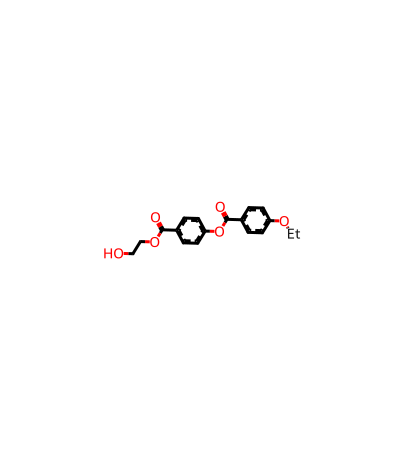 CCOc1ccc(C(=O)Oc2ccc(C(=O)OCCO)cc2)cc1